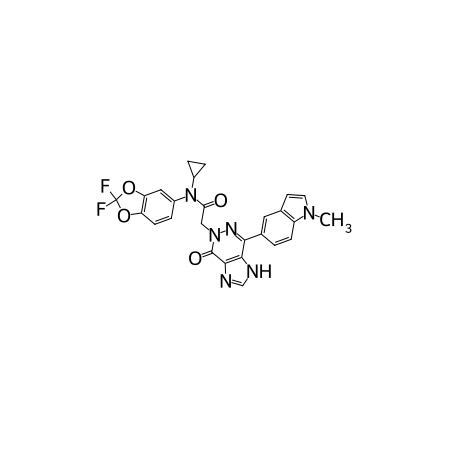 Cn1ccc2cc(-c3nn(CC(=O)N(c4ccc5c(c4)OC(F)(F)O5)C4CC4)c(=O)c4nc[nH]c34)ccc21